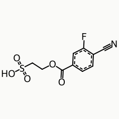 N#Cc1ccc(C(=O)OCCS(=O)(=O)O)cc1F